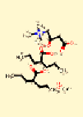 CCCC(CCC)C(=O)[O-].CCCC(CCC)C(=O)[O-].C[N+](C)(C)CC(O)CC(=O)[O-].O.[Ca+2]